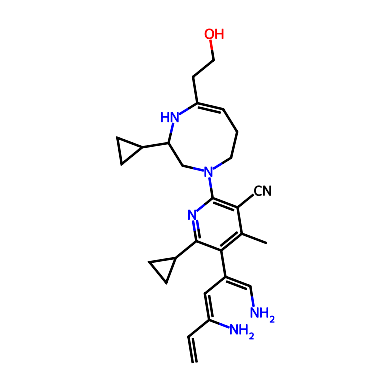 C=C/C(N)=C/C(=C\N)c1c(C2CC2)nc(N2CC/C=C(/CCO)NC(C3CC3)C2)c(C#N)c1C